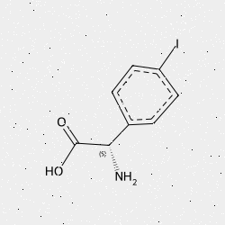 N[C@H](C(=O)O)c1ccc(I)cc1